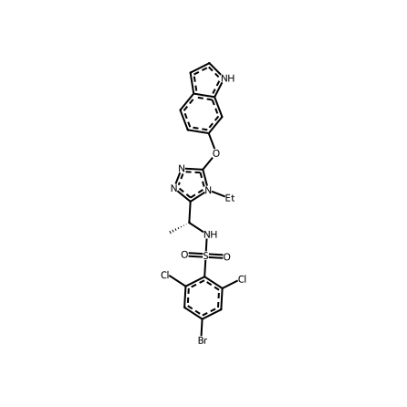 CCn1c(Oc2ccc3cc[nH]c3c2)nnc1[C@@H](C)NS(=O)(=O)c1c(Cl)cc(Br)cc1Cl